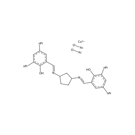 CC(=O)[O-].CC(=O)[O-].CCCc1cc(C=NC2CCC(N=Cc3cc(CCC)cc(CCC)c3O)C2)c(O)c(CCC)c1.[Co+2]